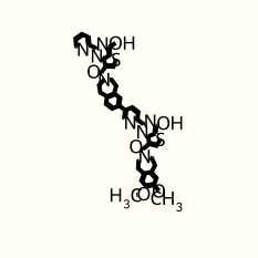 COc1cc2c(cc1OC)CCN(C(=O)c1csc3c(O)nc(-c4ccc(-c5ccc6c(c5)CCN(C(=O)c5csc7c(O)nc(-c8ccccn8)nc57)CC6)cn4)nc13)CC2